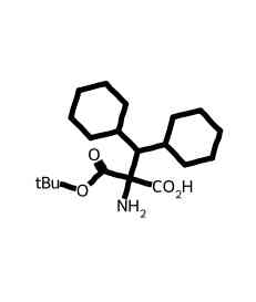 CC(C)(C)OC(=O)C(N)(C(=O)O)C(C1CCCCC1)C1CCCCC1